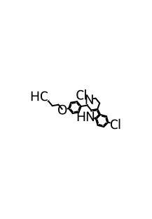 C#CCCOc1ccc(C2c3[nH]c4ccc(Cl)cc4c3CCN2Cl)cc1